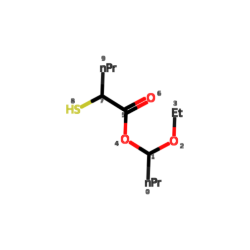 CCCC(OCC)OC(=O)C(S)CCC